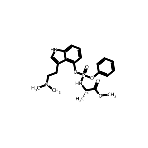 COC(=O)[C@H](C)NP(=O)(Oc1ccccc1)Oc1cccc2[nH]cc(CCN(C)C)c12